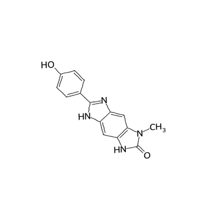 Cn1c(=O)[nH]c2cc3[nH]c(-c4ccc(O)cc4)nc3cc21